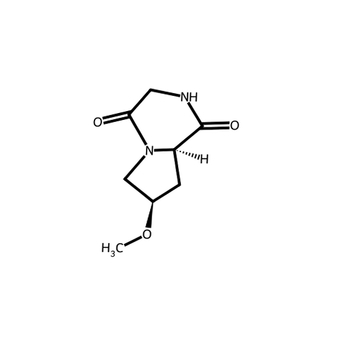 CO[C@@H]1C[C@@H]2C(=O)NCC(=O)N2C1